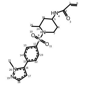 C=CC(=O)NC1CCN(S(=O)(=O)c2ccc(-c3ccnn3C)cc2)C(C)C1